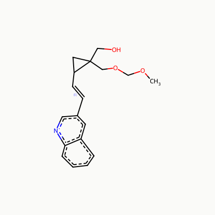 COCOCC1(CO)CC1/C=C/c1cnc2ccccc2c1